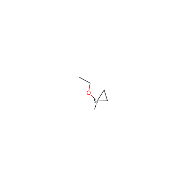 CCO[Si]1(C)CC1